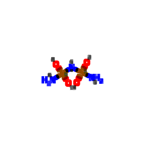 NS(=O)(=O)[N]S(N)(=O)=O